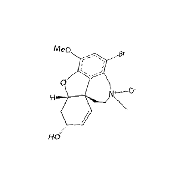 COc1cc(Br)c2c3c1O[C@H]1C[C@@H](O)C=C[C@@]31CC[N+](C)([O-])C2